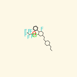 CCCC1CCC(CCC2CC(F)C(c3ccccc3OC(F)(F)C(F)C(F)(F)F)C(Cl)C2)CC1